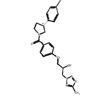 Cc1nnn(CC(O)COc2ccc(C(=O)N3CC[C@H](c4ccc(F)cc4)C3)cc2)n1